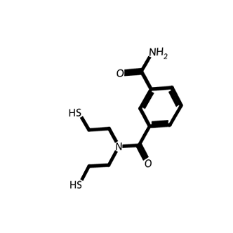 NC(=O)c1cccc(C(=O)N(CCS)CCS)c1